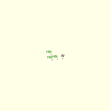 Br.Br.Br.[W]